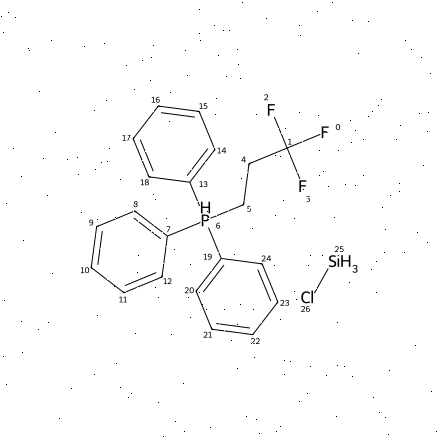 FC(F)(F)CC[PH](c1ccccc1)(c1ccccc1)c1ccccc1.[SiH3]Cl